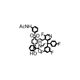 CC(=O)Nc1cccc(S(=O)(=O)N2CCNC[C@@H]2CCc2c(F)cncc2[C@@](CCNC(=O)c2ccccc2O)(c2ccc(F)cc2)c2cc(F)cc(F)c2)c1